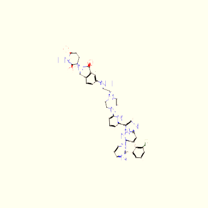 O=C1CCC(N2Cc3ccc(NCCN4CCN(c5cccc(-c6cnc7ccc(N8C=CC=N[C@H]8c8cccc(F)c8)nn67)n5)CC4)cc3C2=O)C(=O)N1